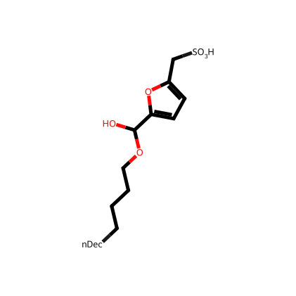 CCCCCCCCCCCCCCOC(O)c1ccc(CS(=O)(=O)O)o1